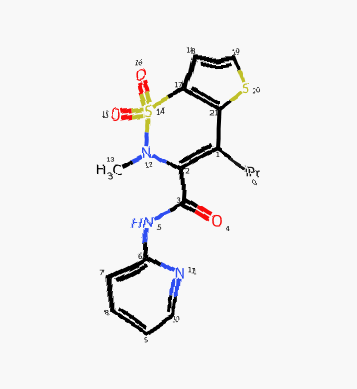 CC(C)C1=C(C(=O)Nc2ccccn2)N(C)S(=O)(=O)c2ccsc21